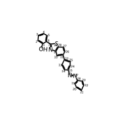 Oc1ccccc1-c1nc2cc(-c3ccc(/N=N/c4ccccc4)cc3)ccc2s1